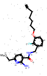 C#CCCCCCOc1cccc(CNC(=O)c2ccc(COC)nc2N)c1F